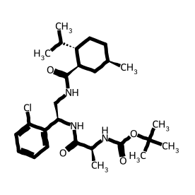 CC(C)[C@@H]1CC[C@@H](C)C[C@H]1C(=O)NC[C@@H](NC(=O)[C@H](C)NC(=O)OC(C)(C)C)c1ccccc1Cl